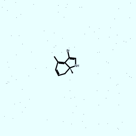 CC1=C2C(Br)=CN[C@]2(C)CC=C1